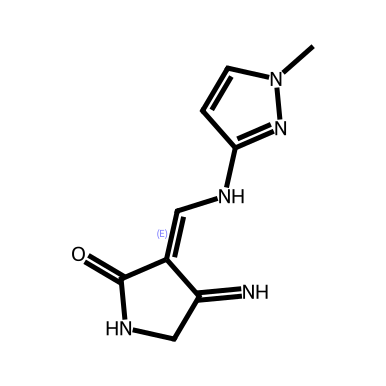 Cn1ccc(N/C=C2\C(=N)CNC2=O)n1